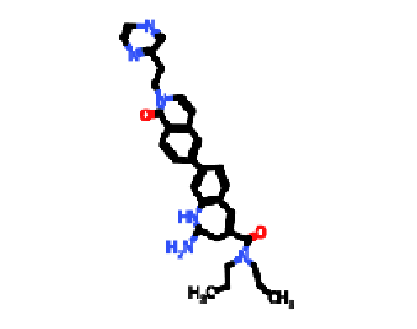 CCCN(CCC)C(=O)C1=Cc2ccc(-c3ccc4c(=O)n(CCc5cnccn5)ccc4c3)cc2NC(N)C1